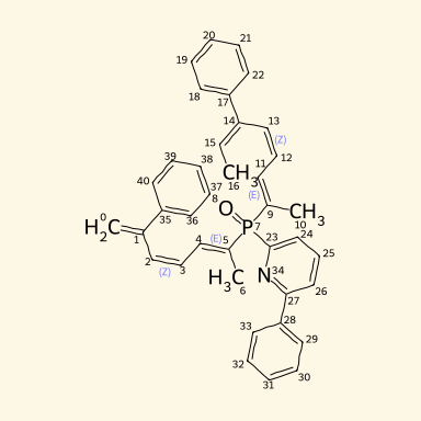 C=C(/C=C\C=C(/C)P(=O)(/C(C)=C/C=C\C(=CC)c1ccccc1)c1cccc(-c2ccccc2)n1)c1ccccc1